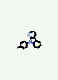 Cc1ccc(-n2c3ccccc3c3cccnc32)cc1